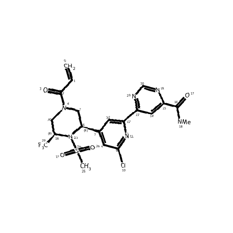 C=CC(=O)N1C[C@@H](c2cc(Cl)nc(-c3cc(C(=O)NC)ncn3)c2)N(S(C)(=O)=O)[C@@H](C(F)(F)F)C1